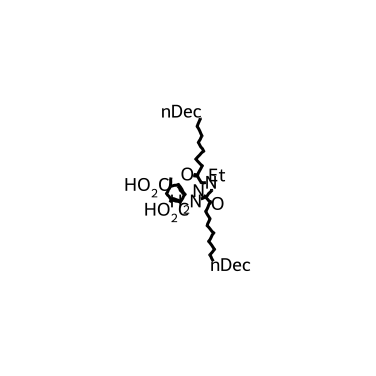 CC1(C(=O)O)C=CC=C(C(=O)O)C1.CCCCCCCCCCCCCCCCCC(=O)C1=NC(N)(C(=O)CCCCCCCCCCCCCCCCC)CN1CC